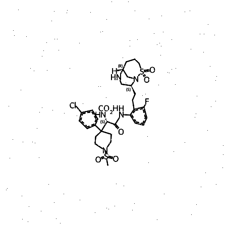 CS(=O)(=O)N1CCC(c2ccc(Cl)cc2)([C@H](NC(=O)O)C(=O)Nc2cccc(F)c2CC[C@H]2CN[C@@H]3CCCS(=O)(=O)N2C3)CC1